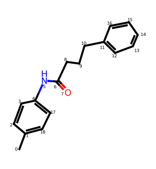 Cc1ccc(NC(=O)CCCc2ccccc2)cc1